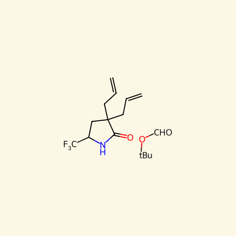 C=CCC1(CC=C)CC(C(F)(F)F)NC1=O.CC(C)(C)OC=O